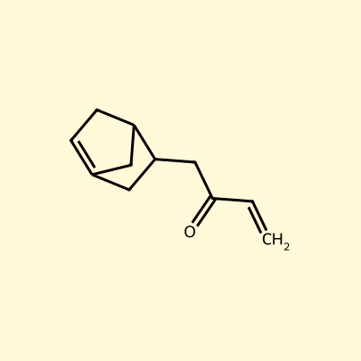 C=CC(=O)CC1CC2=CCC1C2